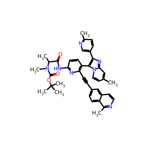 Cc1ccn2c(-c3ccc(NC(=O)C(C)N(C)C(=O)OC(C)(C)C)nc3C#Cc3ccc4c(C)nccc4c3)c(-c3ccc(C)nc3)nc2c1